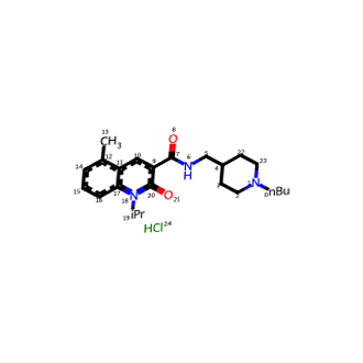 CCCCN1CCC(CNC(=O)c2cc3c(C)cccc3n(C(C)C)c2=O)CC1.Cl